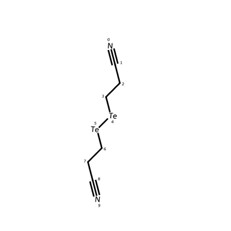 N#CCC[Te][Te]CCC#N